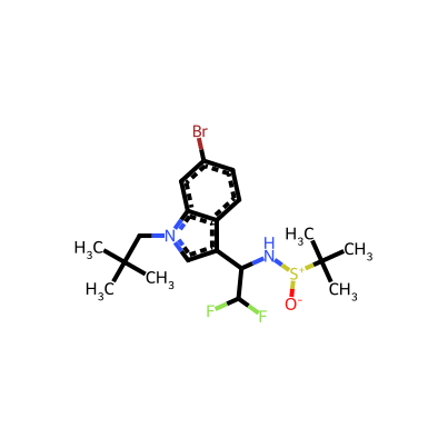 CC(C)(C)Cn1cc(C(N[S+]([O-])C(C)(C)C)C(F)F)c2ccc(Br)cc21